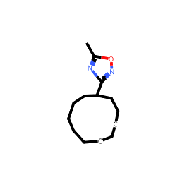 Cc1nc(C2CCCCCCCCCC2)no1